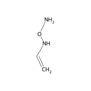 C=CNON